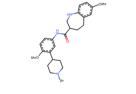 COc1ccc2c(c1)CCC(C(=O)Nc1ccc(OC)c(C3CCN(C(C)C)CC3)c1)CN2